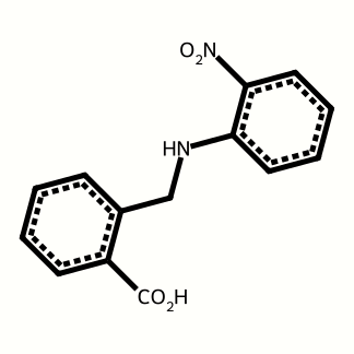 O=C(O)c1ccccc1CNc1ccccc1[N+](=O)[O-]